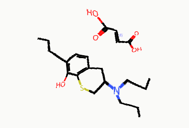 CCCc1ccc2c(c1O)SCC(N(CCC)CCC)C2.O=C(O)/C=C/C(=O)O